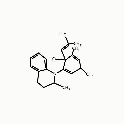 CC(C)=CC1(C)C(C)=CC(C)C=C1N1c2ccccc2CCC1C